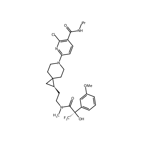 COc1cccc([C@@](O)(C(=O)N(C)CC[C@H]2CC23CCN(c2ccc(C(=O)NC(C)C)c(Cl)n2)CC3)C(F)(F)F)c1